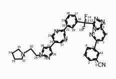 N#Cc1cccc(-c2ccc3nnc(C(F)(F)c4cccc(-c5ncc(-c6cnn(CCN7CCCC7)c6)cn5)c4)n3n2)c1